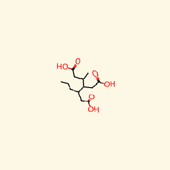 CCCC(CC(=O)O)C(CC(=O)O)C(C)CC(=O)O